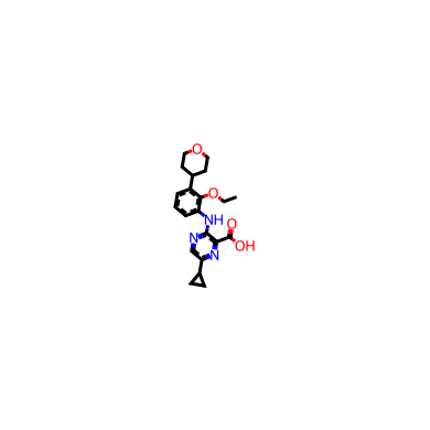 CCOc1c(Nc2ncc(C3CC3)nc2C(=O)O)cccc1C1CCOCC1